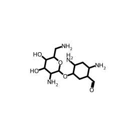 NCC1OC(OC2CC(C=O)C(N)CC2N)C(N)C(O)C1O